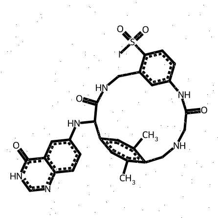 Cc1cc2cc(C)c1CNCC(=O)Nc1ccc(S(=O)(=O)I)c(c1)CNC(=O)C2Nc1ccc2nc[nH]c(=O)c2c1